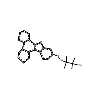 CC(C)(O)C(C)(C)OBc1ccc2c(c1)oc1c3ccccc3c3ccccc3c21